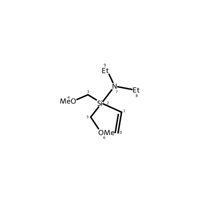 C=C[Si](COC)(COC)N(CC)CC